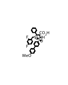 COc1ccc(-c2ccc(S(=O)(=O)N[C@@H](C(=O)O)[C@H](SCc3ccc(F)cc3F)c3ccccc3)cc2)cc1